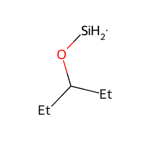 CCC(CC)O[SiH2]